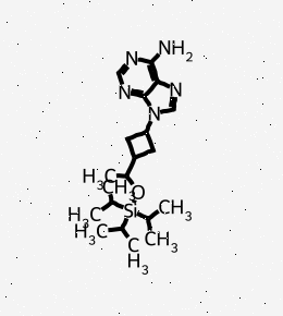 CC(O[Si](C(C)C)(C(C)C)C(C)C)C1CC(n2cnc3c(N)ncnc32)C1